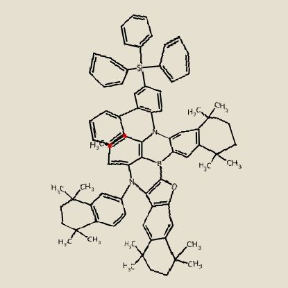 Cc1cc2c3c(c1)N(c1ccc4c(c1)C(C)(C)CCC4(C)C)c1c(oc4cc5c(cc14)C(C)(C)CCC5(C)C)B3c1cc3c(cc1N2c1ccc([Si](c2ccccc2)(c2ccccc2)c2ccccc2)cc1-c1ccccc1)C(C)(C)CCC3(C)C